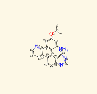 CC(C)Oc1cccc(-c2ncccc2-c2ccc3ncnc(N)c3c2)c1